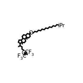 CC(C)CCCCCCCCCCCCCCOC1CCC2(C)C(CCC3C2CCC2(C)C(C(C)CCCOC(C)(C(F)(F)F)C(F)(F)F)CCC32)C1